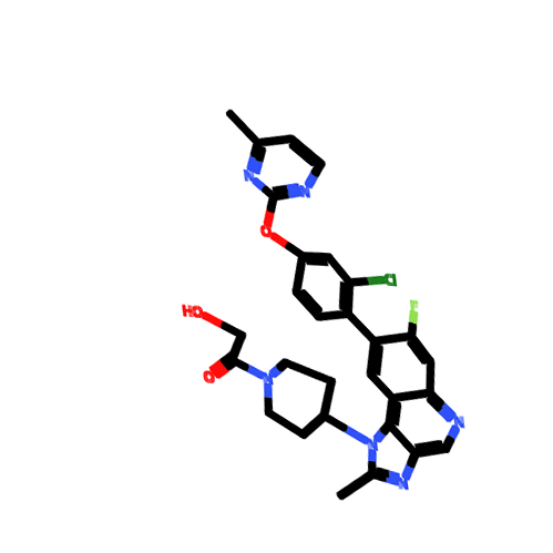 Cc1ccnc(Oc2ccc(-c3cc4c(cc3F)ncc3nc(C)n(C5CCN(C(=O)CO)CC5)c34)c(Cl)c2)n1